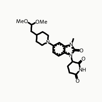 COC(CC1CCN(c2ccc3c(c2)n(C)c(=O)n3C2CCC(=O)NC2=O)CC1)OC